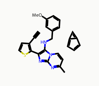 C#Cc1ccsc1-c1nc2nc(C)ccn2c1NCc1cccc(OC)c1.c1cc2cc-2c1